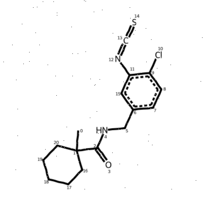 CC1(C(=O)NCc2ccc(Cl)c(N=C=S)c2)CCCCC1